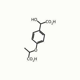 CC(Oc1ccc(C(O)C(=O)O)cc1)C(=O)O